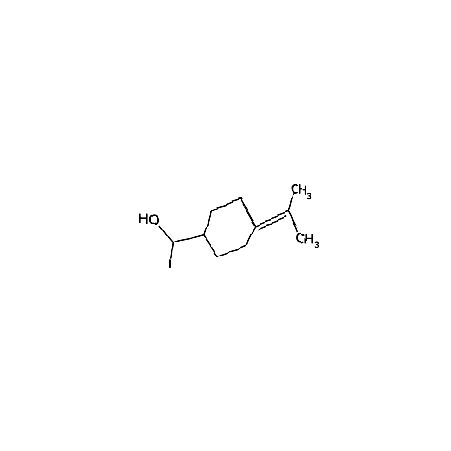 CC(C)=C1CCC(C(O)I)CC1